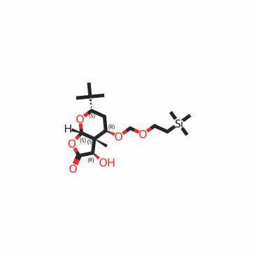 CC(C)(C)[C@@H]1C[C@@H](OCOCC[Si](C)(C)C)[C@@]2(C)[C@H](OC(=O)[C@@H]2O)O1